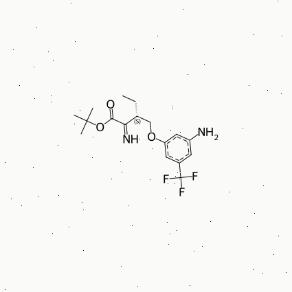 CC[C@H](COc1cc(N)cc(C(F)(F)F)c1)C(=N)C(=O)OC(C)(C)C